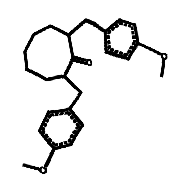 COc1ccc(CC2CCCCCC(Cc3ccc(OC)cc3)C2=O)cc1